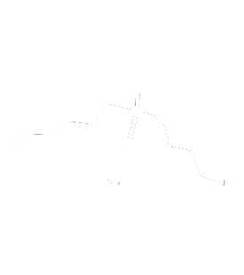 CCCCCCS(=O)(=O)ONCCN.[NaH]